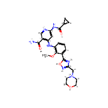 COc1c(Nc2cc(NC(=O)C3CC3)ncc2C(N)=O)cccc1-c1nc(CN2CCOCC2)no1